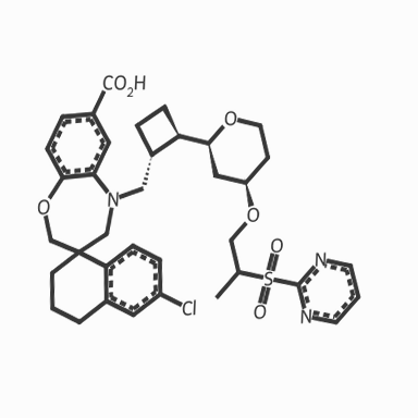 CC(CO[C@@H]1CCO[C@H]([C@@H]2CC[C@H]2CN2CC3(CCCc4cc(Cl)ccc43)COc3ccc(C(=O)O)cc32)C1)S(=O)(=O)c1ncccn1